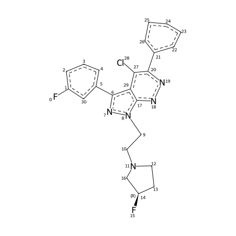 Fc1cccc(-c2nn(CCN3CC[C@@H](F)C3)c3nnc(-c4ccccc4)c(Cl)c23)c1